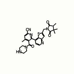 Cc1cc(C#N)nc(-c2ccnc3cc(CN4C(=O)C(C)C(C)(C)C4=O)sc23)c1C(=O)N1CCNCC1